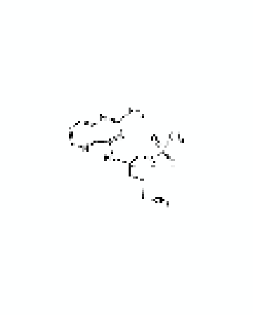 CCCC[C@H](CNS(C)(=O)=O)Nc1nc(N)nc2cccnc12